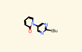 CC(C)(C)c1ncc(-n2ccccc2=O)cn1